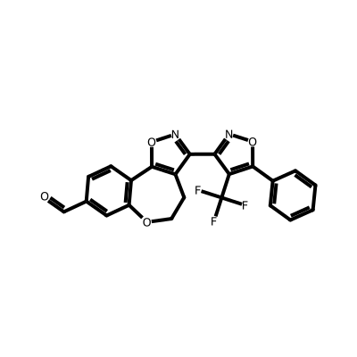 O=Cc1ccc2c(c1)OCCc1c(-c3noc(-c4ccccc4)c3C(F)(F)F)noc1-2